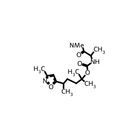 CNC(=O)C(C)NC(=O)OC(C)(C)CCC(C)c1cc(C)no1